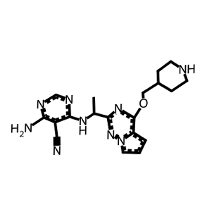 CC(Nc1ncnc(N)c1C#N)c1nc(OCC2CCNCC2)c2cccn2n1